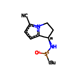 CC(C)(C)[S+]([O-])N[C@@H]1CCn2c(C#N)ccc21